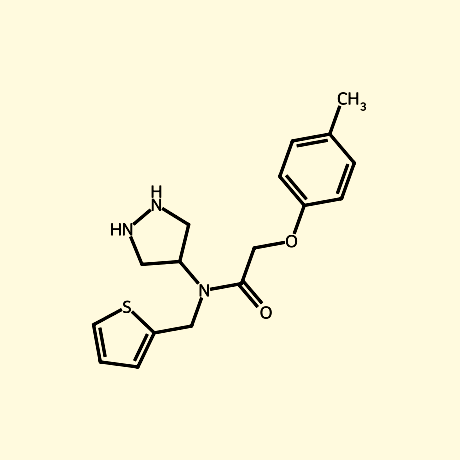 Cc1ccc(OCC(=O)N(Cc2cccs2)C2CNNC2)cc1